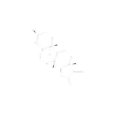 C[C@]12CC[C@H](O)C=C1CC[C@@H]1[C@@H]2CC[C@]2(C)C(N)=C(F)C[C@@H]12